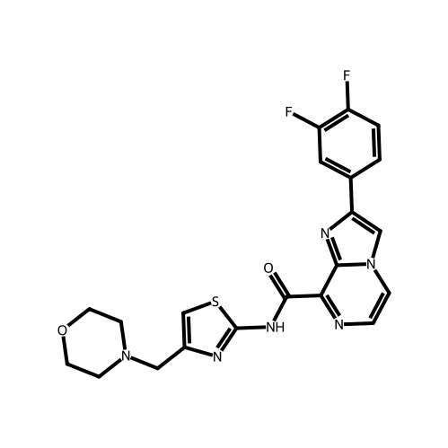 O=C(Nc1nc(CN2CCOCC2)cs1)c1nccn2cc(-c3ccc(F)c(F)c3)nc12